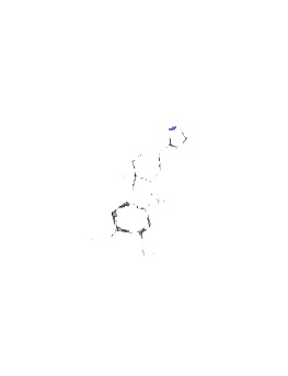 CN(c1ccc(C#N)c(C(F)(F)F)c1)C1C=C(c2cnco2)CCC1(C)C